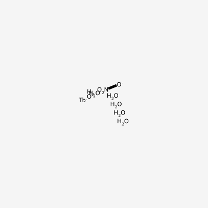 O.O.O.O.O.O.O=[N+]([O-])[O-].[Tb]